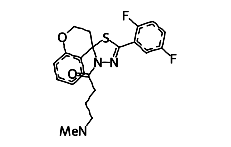 CNCCCC(=O)N1N=C(c2cc(F)ccc2F)SC12CCOc1ccccc12